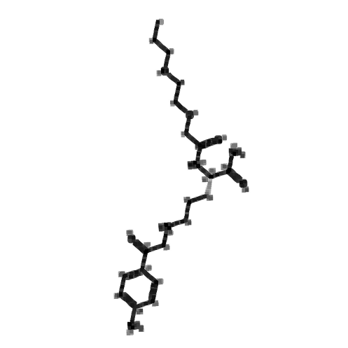 CCCOCCOCC(=O)N[C@@H](CCCNCC(=O)c1ccc(N)cc1)C(N)=O